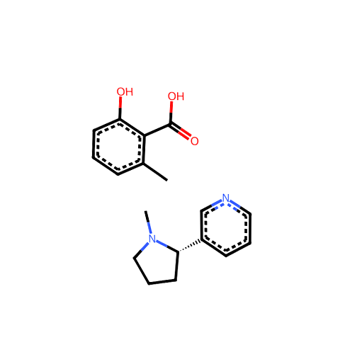 CN1CCC[C@H]1c1cccnc1.Cc1cccc(O)c1C(=O)O